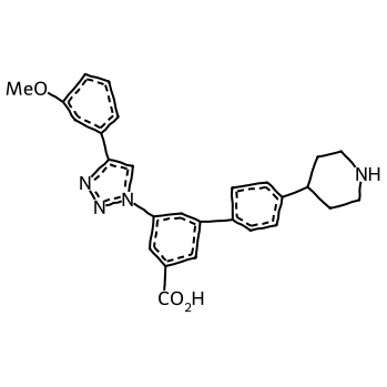 COc1cccc(-c2cn(-c3cc(C(=O)O)cc(-c4ccc(C5CCNCC5)cc4)c3)nn2)c1